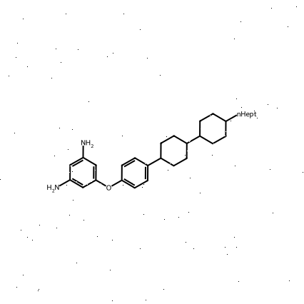 CCCCCCCC1CCC(C2CCC(c3ccc(Oc4cc(N)cc(N)c4)cc3)CC2)CC1